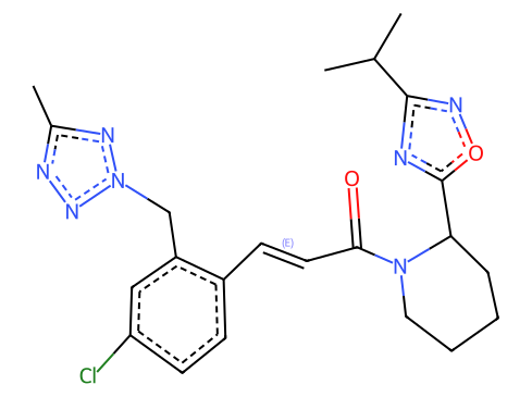 Cc1nnn(Cc2cc(Cl)ccc2/C=C/C(=O)N2CCCCC2c2nc(C(C)C)no2)n1